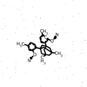 Cc1ccc(C23CC4(C)CC(C)(C2)CC(c2ccc(C)cc2OC#N)(C4)C3)c(OC#N)c1